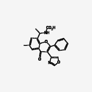 Cc1cc(C(C)NC(=O)O)c2oc(-c3ccccc3)c(-c3cocn3)c(=O)c2c1